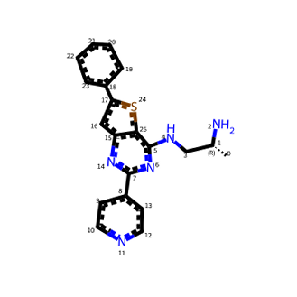 C[C@@H](N)CNc1nc(-c2ccncc2)nc2cc(-c3ccccc3)sc12